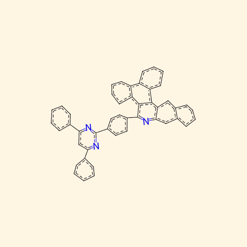 c1ccc(-c2cc(-c3ccccc3)nc(-c3ccc(-c4nc5cc6ccccc6cc5c5c6ccccc6c6ccccc6c45)cc3)n2)cc1